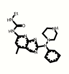 CCNC(=O)Nc1cc(C)c2cnc(N(c3ccccc3)N3CCNCC3)nc2n1